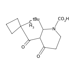 CC1(C(=O)C2C(=O)CCN(C(=O)O)C2C(C)(C)C)CCC1